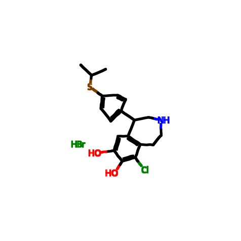 Br.CC(C)Sc1ccc(C2CNCCc3c2cc(O)c(O)c3Cl)cc1